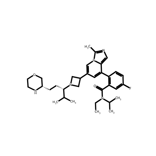 CCN(C(=O)c1cc(F)ccc1-c1cc(C2CN([C@@H](CC[C@H]3COCCN3)C(C)C)C2)cn2c(C)ncc12)C(C)C